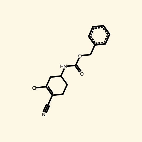 N#CC1=C(Cl)CC(NC(=O)OCc2ccccc2)CC1